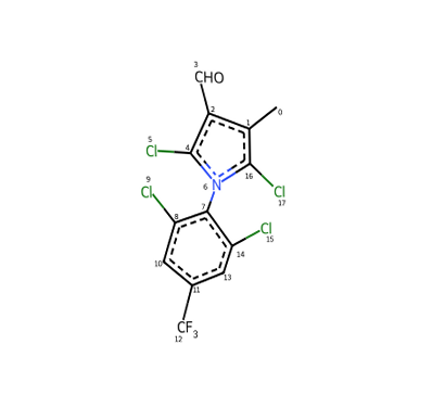 Cc1c(C=O)c(Cl)n(-c2c(Cl)cc(C(F)(F)F)cc2Cl)c1Cl